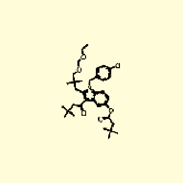 CCOCOCC(C)(C)Cc1c(C(=O)CC(C)(C)C)c2cc(OC(=O)CC(C)(C)C)ccc2n1Cc1ccc(Cl)cc1